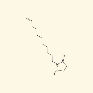 C=CCCCCCCCCCN1C(=O)CCC1=O